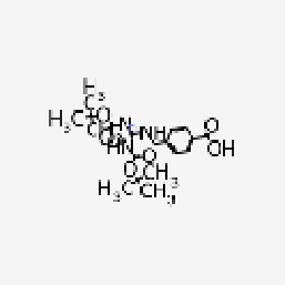 CC(C)(C)OC(=O)/N=C(/NCc1ccc(C(=O)O)cc1)NC(=O)OC(C)(C)C